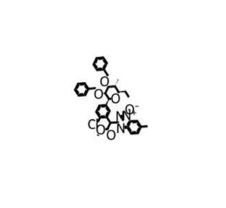 CC[C@H]1O[C@@H](c2ccc(Cl)c(C(C(=O)OC)c3nc4ccc(C)cc4[n+]([O-])n3)c2)[C@H](OCc2ccccc2)[C@@H](OCc2ccccc2)[C@@H]1C